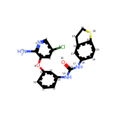 Nc1ncc(Cl)cc1Oc1cccc(NC(=O)Nc2ccc3c(c2)CCS3)c1